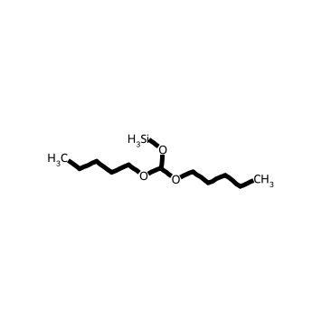 CCCCCOC(O[SiH3])OCCCCC